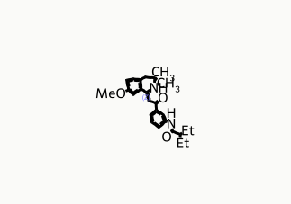 CCC(CC)C(=O)Nc1cccc(C(=O)/C=C2\NC(C)(C)Cc3ccc(OC)cc32)c1